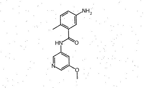 COc1cncc(NC(=O)c2cc(N)ccc2C)c1